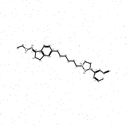 C=C/C=C(\C=C/C)N1CCN(CCCCCCc2ccc3c(c2)CC/C3=N\OCC)S1